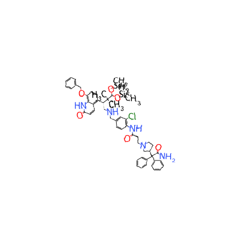 C[SiH2]OC(O[SiH2]C)C(C)(C)[C@H](CNCc1ccc(NC(=O)CCN2CC[C@@H](C(C(N)=O)(c3ccccc3)c3ccccc3)C2)c(Cl)c1)c1ccc(OCc2ccccc2)c2[nH]c(=O)ccc12